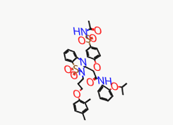 CC(=O)NS(=O)(=O)c1ccc(OC(C(=O)Nc2ccccc2OC(C)C)C2=Nc3ccccc3S(=O)(=O)N2CCCOc2ccc(C)cc2C)cc1